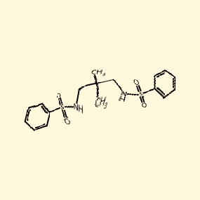 CC(C)(CNS(=O)(=O)c1ccccc1)CNS(=O)(=O)c1ccccc1